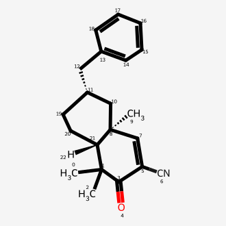 CC1(C)C(=O)C(C#N)=C[C@]2(C)C[C@@H](Cc3ccccc3)CC[C@@H]12